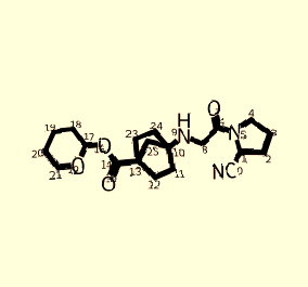 N#CC1CCCN1C(=O)CNC12CCC(C(=O)OC3CCCCO3)(CC1)C2